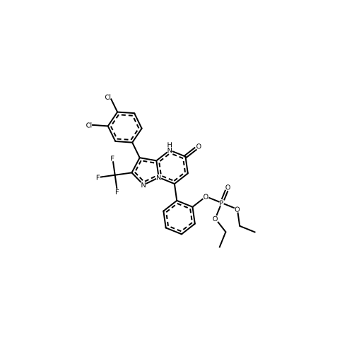 CCOP(=O)(OCC)Oc1ccccc1-c1cc(=O)[nH]c2c(-c3ccc(Cl)c(Cl)c3)c(C(F)(F)F)nn12